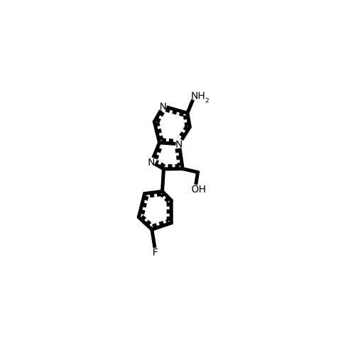 Nc1cn2c(CO)c(-c3ccc(F)cc3)nc2cn1